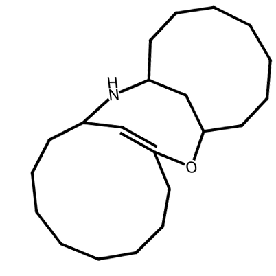 C1=C2\CCCCCCCCC/1NC1CCCCCCCC(C1)O2